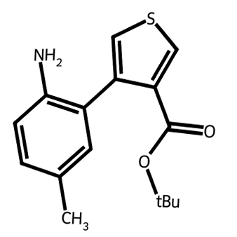 Cc1ccc(N)c(-c2cscc2C(=O)OC(C)(C)C)c1